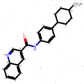 O=C(Nc1ccc(C2CCC(C(=O)O)CC2)cc1)c1cnc2ccccc2c1